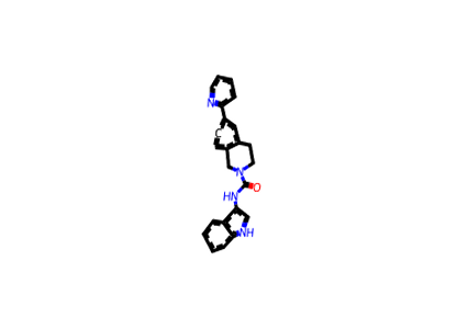 O=C(Nc1c[nH]c2ccccc12)N1CCc2cc(-c3ccccn3)ccc2C1